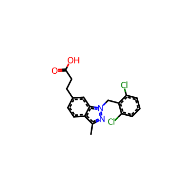 Cc1nn(Cc2c(Cl)cccc2Cl)c2cc(CCC(=O)O)ccc12